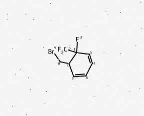 FC(F)(F)C1(F)C=CC=CC1CBr